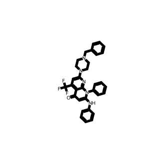 O=c1cc(Nc2ccccc2)n(-c2ccccc2)c2nc(N3CCN(Cc4ccccc4)CC3)cc(C(F)(F)F)c12